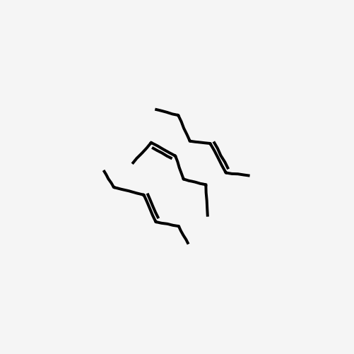 C/C=C/CCC.C/C=C\CCC.CC/C=C/CC